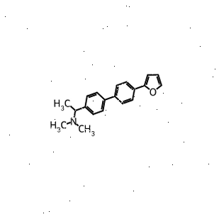 CC(c1ccc(-c2ccc(-c3ccco3)cc2)cc1)N(C)C